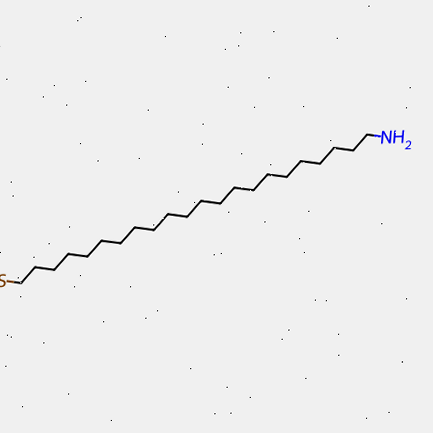 NCCCCCCCCCCCCCCCCCCCCCCS